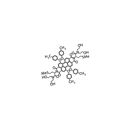 CSCCC(C(=O)N(CCO)CCO)N1C(=O)c2cc(Oc3ccc(C)cc3)c3c4c(Oc5ccc(C)cc5)cc5c6c(cc(Oc7ccc(C)cc7)c(c7c(Oc8ccc(C)cc8)cc(c2c37)C1=O)c64)C(=O)N(C(CCSC)C(=O)N(CCO)CCO)C5=O